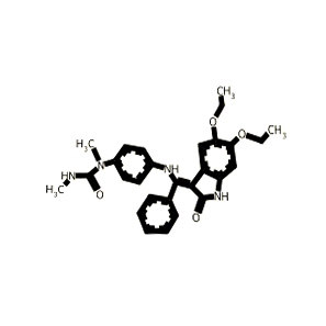 CCOc1cc2c(cc1OCC)C(=C(Nc1ccc(N(C)C(=O)NC)cc1)c1ccccc1)C(=O)N2